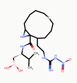 CC(C)[C@H](CB(O)O)NC(=O)C12NC1CCCCCCCCC2CCNC(=N)N[N+](=O)[O-]